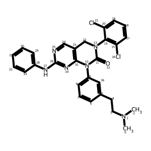 CN(C)CCc1cccc(N2C(=O)N(c3c(Cl)cccc3Cl)Cc3cnc(Nc4ccccc4)nc32)c1